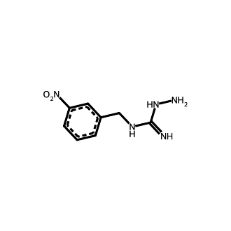 N=C(NN)NCc1cccc([N+](=O)[O-])c1